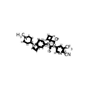 CN1CCC(n2ccc3cc(N4C(=S)N(c5cnc(C#N)c(C(F)(F)F)c5)C(=O)C45CCC5)ccc32)CC1